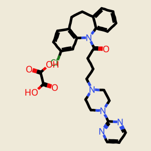 O=C(CCCN1CCN(c2ncccn2)CC1)N1c2ccccc2CCc2ccc(Cl)cc21.O=C(O)C(=O)O